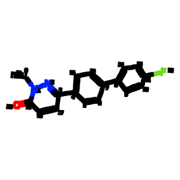 CCCCn1nc(-c2ccc(-c3ccc(F)cc3)cc2)ccc1=O